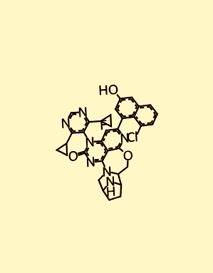 O=c1nc2c3c(nc(-c4cc(O)cc5cccc(Cl)c45)c(F)c3n1-c1c(C3CC3)ncnc1C1CC1)OCC1C3CCC(CN21)N3